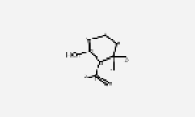 C=C(C)C1C(O)CCCC1(C)C